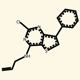 C=CCNc1nc(Cl)nc2c(-c3ccccc3)csc12